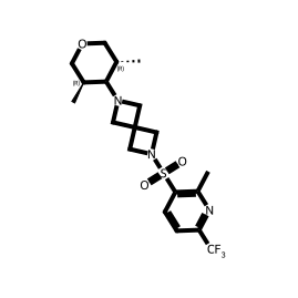 Cc1nc(C(F)(F)F)ccc1S(=O)(=O)N1CC2(CN(C3[C@@H](C)COC[C@@H]3C)C2)C1